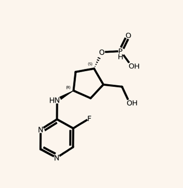 O=[PH](O)O[C@H]1C[C@H](Nc2ncncc2F)CC1CO